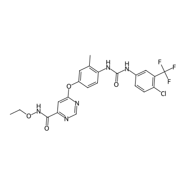 CCONC(=O)c1cc(Oc2ccc(NC(=O)Nc3ccc(Cl)c(C(F)(F)F)c3)c(C)c2)ncn1